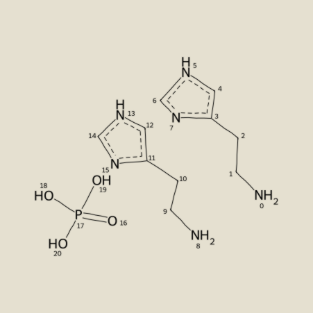 NCCc1c[nH]cn1.NCCc1c[nH]cn1.O=P(O)(O)O